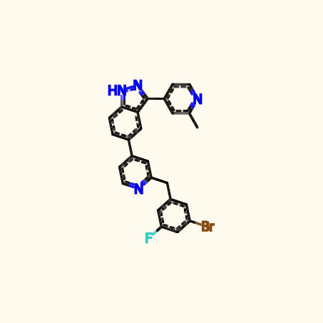 Cc1cc(-c2n[nH]c3ccc(-c4ccnc(Cc5cc(F)cc(Br)c5)c4)cc23)ccn1